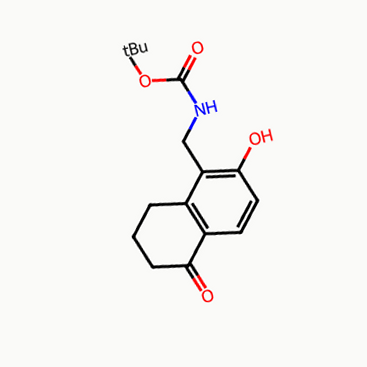 CC(C)(C)OC(=O)NCc1c(O)ccc2c1CCCC2=O